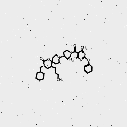 CCCCC1CN(CC2CCCCC2)C(=O)OC12CCN(C1CCN(C(=O)c3c(C)nc(Oc4ccccc4)nc3C)CC1)CC2